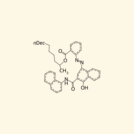 CCCCCCCCCCCCCCC(C)OC(=O)c1ccccc1N=Nc1cc(C(=O)Nc2cccc3ccccc23)c(O)c2ccccc12